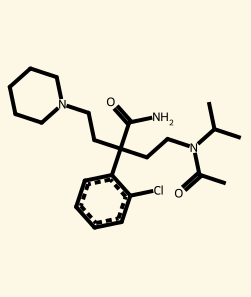 CC(=O)N(CCC(CCN1CCCCC1)(C(N)=O)c1ccccc1Cl)C(C)C